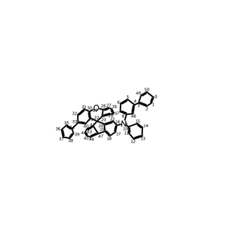 c1ccc(-c2cccc(N(c3ccccc3)c3ccc4c(c3)C3(c5ccccc5Oc5ccc(-c6ccccc6)cc53)c3ccccc3-4)c2)cc1